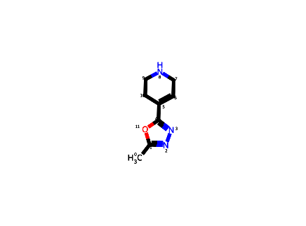 Cc1nnc(C2=CCNCC2)o1